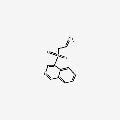 C=CCS(=O)(=O)c1cncc2ccccc12